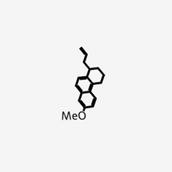 C=CCC1CCCc2c1ccc1cc(OC)ccc21